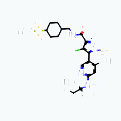 CCn1nc(C(=O)NCC2CCC(S(C)(=O)=O)CC2)c(Cl)c1-c1cnc(NC(C)(C)CC(F)(F)F)cc1C